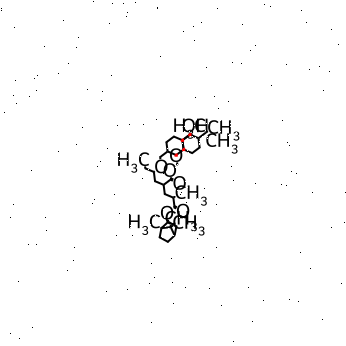 CCC(CC(CC(C)C(=O)OC1CC2CCC1(C)C2(C)C)C(=O)OCOC1CCC(C(C)(C)C)CC1)OCC1CCC(CO)CC1